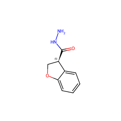 NNC(=O)[C@@H]1COc2ccccc21